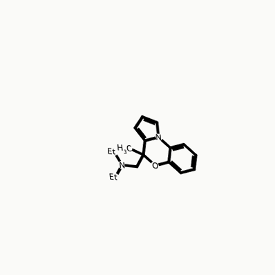 CCN(CC)CC1(C)Oc2ccccc2-n2cccc21